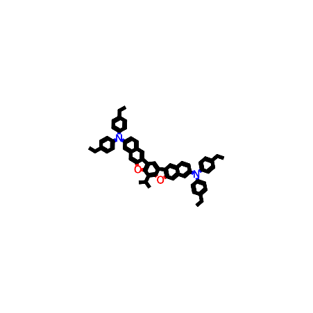 CCc1ccc(N(c2ccc(CC)cc2)c2ccc3cc4c(cc3c2)oc2c(C(C)C)c3oc5cc6cc(N(c7ccc(CC)cc7)c7ccc(CC)cc7)ccc6cc5c3cc24)cc1